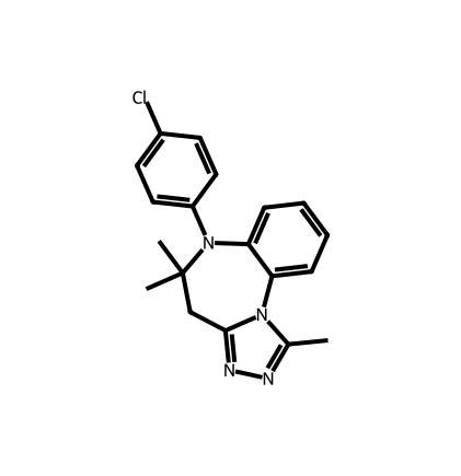 Cc1nnc2n1-c1ccccc1N(c1ccc(Cl)cc1)C(C)(C)C2